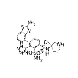 CC1(NS(=O)(=O)c2ccc(-c3cccc4sc(N)nc34)c(-c3nnn[nH]3)c2S(N)(=O)=O)CCCNC1